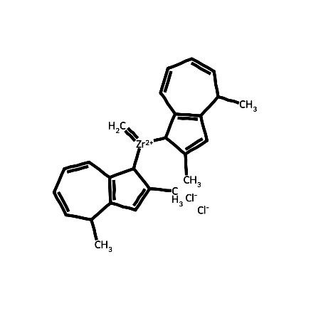 [CH2]=[Zr+2]([CH]1C(C)=CC2=C1C=CC=CC2C)[CH]1C(C)=CC2=C1C=CC=CC2C.[Cl-].[Cl-]